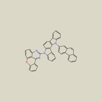 c1ccc2c(c1)Oc1cccc3nc(-n4c5ccccc5c5c4ccc4c6ccccc6n(-c6ccc7c(ccc8ccccc87)c6)c45)nc-2c13